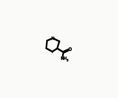 NC(=O)C1[CH]CC[N]C1